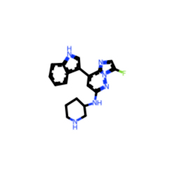 Fc1cnc2c(-c3c[nH]c4ccccc34)cc(NC3CCCNC3)nn12